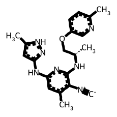 [C-]#[N+]c1c(C)cc(Nc2cc(C)[nH]n2)nc1N[C@@H](C)COc1ccc(C)nc1